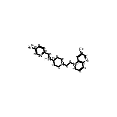 Fc1cnc2c(c1)N(CCN1CCC(NCc3ccc(Br)cn3)CC1)CC=C2